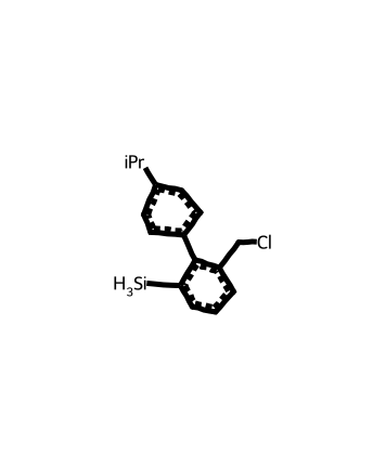 CC(C)c1ccc(-c2c([SiH3])cccc2CCl)cc1